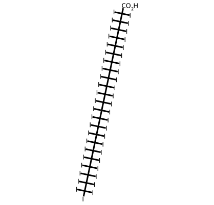 O=C(O)C(I)(I)C(I)(I)C(I)(I)C(I)(I)C(I)(I)C(I)(I)C(I)(I)C(I)(I)C(I)(I)C(I)(I)C(I)(I)C(I)(I)C(I)(I)C(I)(I)C(I)(I)C(I)(I)C(I)(I)C(I)(I)C(I)(I)C(I)(I)C(I)(I)C(I)(I)C(I)(I)I